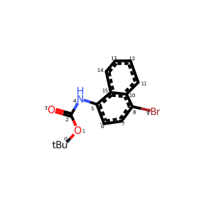 CC(C)(C)OC(=O)Nc1[c]cc(Br)c2ccccc12